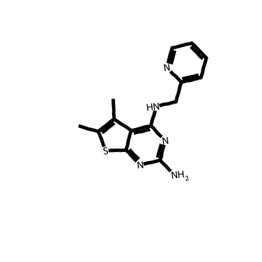 Cc1sc2nc(N)nc(NCc3ccccn3)c2c1C